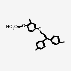 Cc1cc(OCC=C(c2ccc(F)cc2)c2ccc(I)cc2)ccc1OCC(=O)O